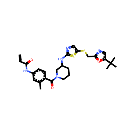 C=CC(=O)Nc1ccc(C(=O)N2CCCC(Nc3ncc(SCc4ncc(C(C)(C)C)o4)s3)C2)c(C)c1